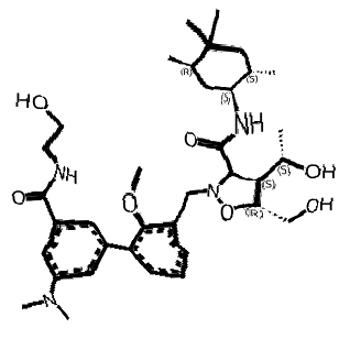 COc1c(CN2O[C@@H](CO)[C@H]([C@H](C)O)C2C(=O)N[C@H]2C[C@@H](C)C(C)(C)C[C@@H]2C)cccc1-c1cc(C(=O)NCCO)cc(N(C)C)c1